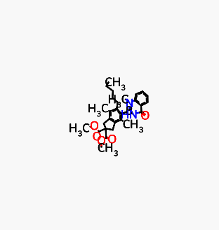 CCCCCc1c(C)c2c(c(C)c1B1NC(=O)c3ccccc3N1C)CC(C(=O)OC)(C(=O)OC)C2